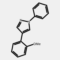 COc1ccccc1-c1cnn(-c2ccccc2)c1